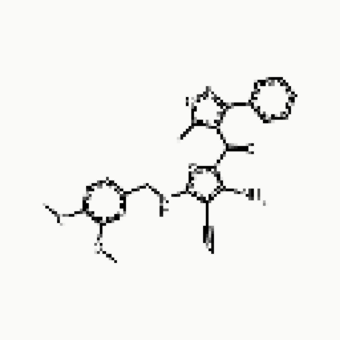 COc1ccc(CNc2sc(C(=O)c3c(-c4ccccc4)noc3C)c(N)c2C#N)cc1OC